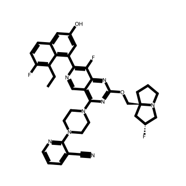 CCc1c(F)ccc2cc(O)cc(-c3ncc4c(N5CCN(c6ncccc6C#N)CC5)nc(OC[C@@]56CCCN5C[C@H](F)C6)nc4c3F)c12